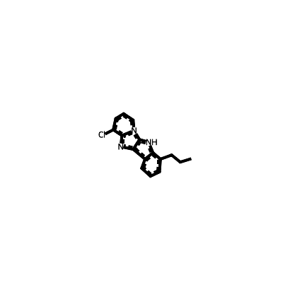 CCCc1cccc2c1[nH]c1c2nc2c(Cl)cccn21